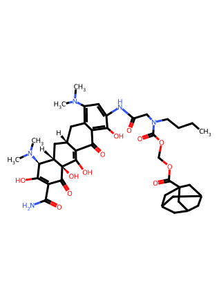 CCCCN(CC(=O)Nc1cc(N(C)C)c2c(c1O)C(=O)C1=C(O)[C@]3(O)C(=O)C(C(N)=O)=C(O)[C@@H](N(C)C)[C@@H]3C[C@@H]1C2)C(=O)OCOC(=O)C12CC3CC(CC(C3)C1)C2